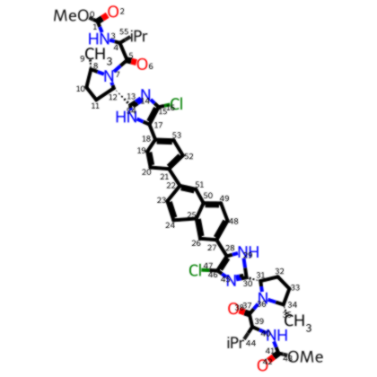 COC(=O)NC(C(=O)N1[C@@H](C)CC[C@H]1c1nc(Cl)c(-c2ccc(-c3ccc4cc(-c5[nH]c([C@@H]6CC[C@H](C)N6C(=O)C(NC(=O)OC)C(C)C)nc5Cl)ccc4c3)cc2)[nH]1)C(C)C